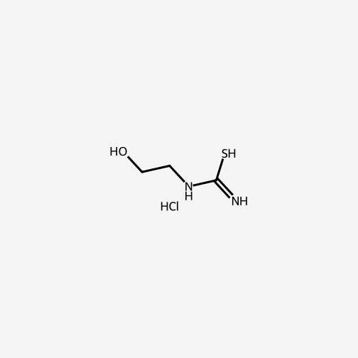 Cl.N=C(S)NCCO